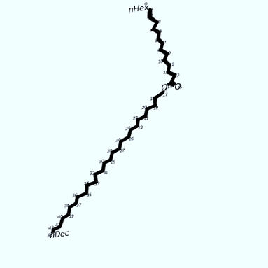 CCCCCCC=CCCCCCCCCCCCC(=O)OCCCCCCCCCCCCCCCCCCCCCCCCCCCCCCCCCCCC